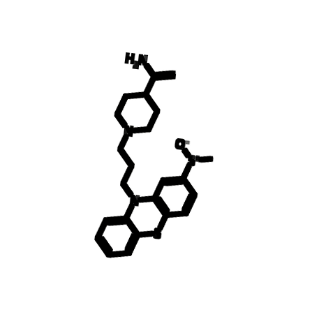 C=C(N)C1CCN(CCCN2c3ccccc3Sc3ccc([S+](C)[O-])cc32)CC1